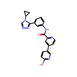 O=C(Nc1cccc(-c2nncn2C2CC2)c1)c1cc(-c2ccc(O)nc2)ccn1